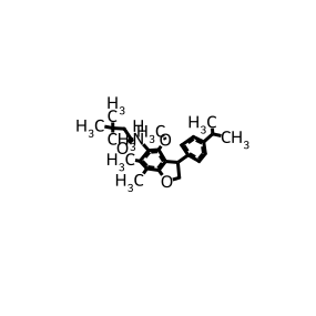 COc1c(NC(=O)CC(C)(C)C)c(C)c(C)c2c1C(c1ccc(C(C)C)cc1)CO2